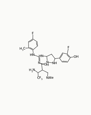 CNCC(C(=O)/N=C(/Nc1ccc(F)cc1C)NC1CC(c2ccc(O)c(F)c2)NN1)C(N)C(F)(F)F